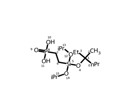 CCCC(C)(CC)O[Si](CCP(=O)(O)O)(OC(C)C)OC(C)C